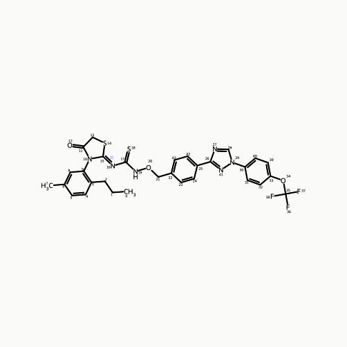 CCCc1ccc(C)cc1N1C(=O)CS/C1=N\C(=S)NOCc1ccc(-c2ncn(-c3ccc(OC(F)(F)F)cc3)n2)cc1